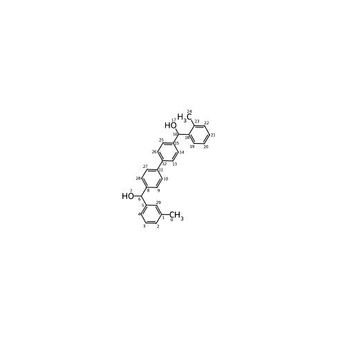 Cc1cccc(C(O)c2ccc(-c3ccc(C(O)c4ccccc4C)cc3)cc2)c1